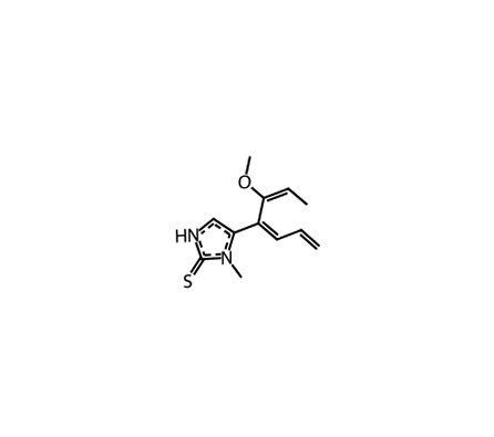 C=C/C=C(\C(=C/C)OC)c1c[nH]c(=S)n1C